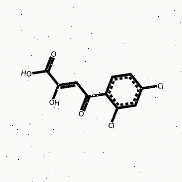 O=C(O)/C(O)=C/C(=O)c1ccc(Cl)cc1Cl